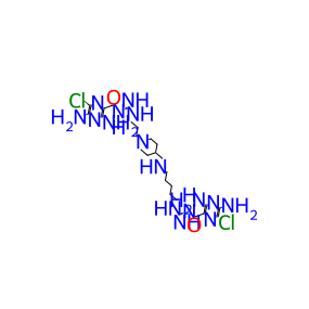 N=C(NCCCCCNCC1CCN(CCCNC(=N)NC(=O)c2nc(Cl)c(N)nc2N)CC1)NC(=O)c1nc(Cl)c(N)nc1N